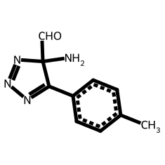 Cc1ccc(C2=NN=NC2(N)C=O)cc1